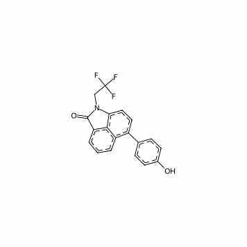 O=C1c2cccc3c(-c4ccc(O)cc4)ccc(c23)N1CC(F)(F)F